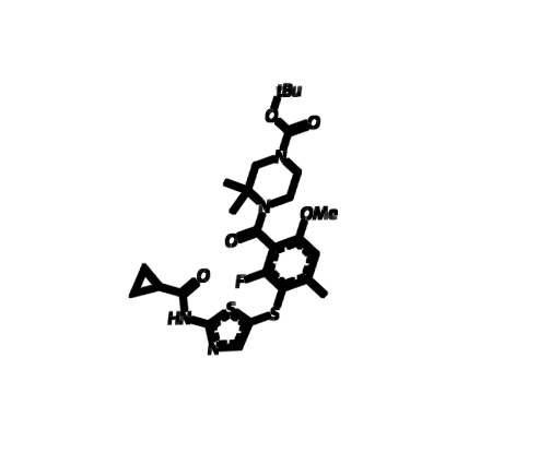 COc1cc(C)c(Sc2cnc(NC(=O)C3CC3)s2)c(F)c1C(=O)N1CCN(C(=O)OC(C)(C)C)CC1(C)C